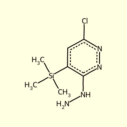 C[Si](C)(C)c1cc(Cl)nnc1NN